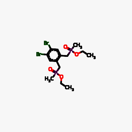 CCOP(C)(=O)Cc1cc(Br)c(Br)cc1CP(C)(=O)OCC